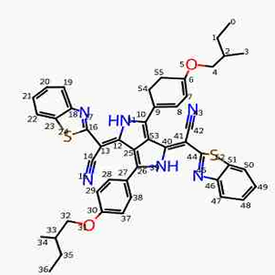 CCC(C)COC1=CC=C(c2[nH]/c(=C(/C#N)c3nc4ccccc4s3)c3c(-c4ccc(OCC(C)CC)cc4)[nH]/c(=C(/C#N)c4nc5ccccc5s4)c23)CC1